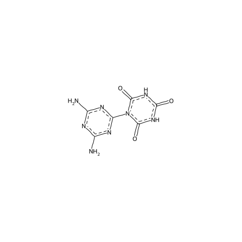 Nc1nc(N)nc(-n2c(=O)[nH]c(=O)[nH]c2=O)n1